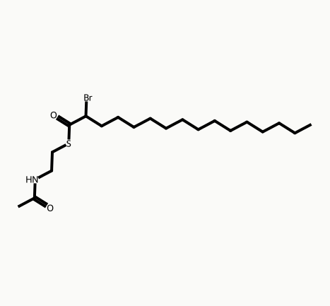 CCCCCCCCCCCCCCC(Br)C(=O)SCCNC(C)=O